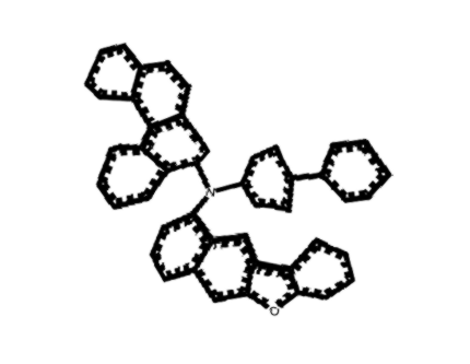 c1ccc(-c2ccc(N(c3cccc4cc5oc6ccccc6c5cc34)c3cc4ccc5ccccc5c4c4ccccc34)cc2)cc1